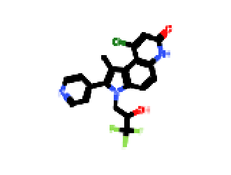 Cc1c(-c2ccncc2)n(CC(O)C(F)(F)F)c2ccc3[nH]c(=O)cc(Cl)c3c12